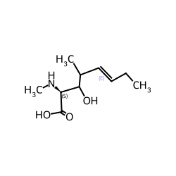 CC/C=C/C(C)C(O)[C@H](NC)C(=O)O